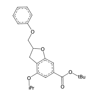 CC(C)Oc1cc(C(=O)OC(C)(C)C)cc2c1CC(COc1ccccc1)O2